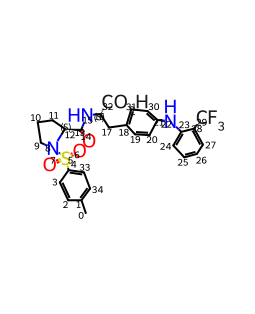 Cc1ccc(S(=O)(=O)N2CCC[C@H]2C(=O)N[C@@H](Cc2ccc(Nc3ccccc3C(F)(F)F)cc2)C(=O)O)cc1